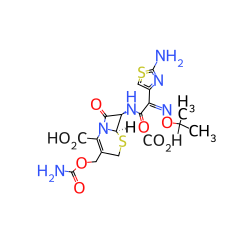 CC(C)(O/N=C(\C(=O)N[C@@H]1C(=O)N2C(C(=O)O)=C(COC(N)=O)CS[C@H]12)c1csc(N)n1)C(=O)O